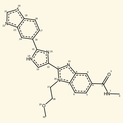 CNC(=O)c1ccc2c(c1)nc(-c1c[nH]c(-c3ccc4scnc4c3)n1)n2CCOC